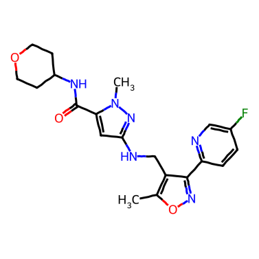 Cc1onc(-c2ccc(F)cn2)c1CNc1cc(C(=O)NC2CCOCC2)n(C)n1